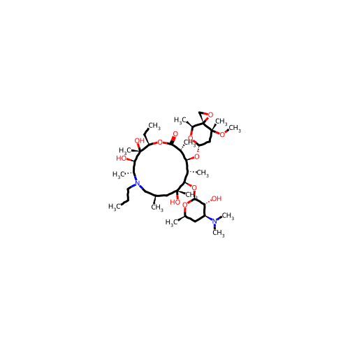 CCCN1C[C@H](C)C[C@@](C)(O)[C@H](O[C@@H]2O[C@H](C)C[C@H](N(C)C)[C@H]2O)[C@@H](C)[C@H](O[C@H]2C[C@@](C)(OC)[C@]3(CO3)[C@H](C)O2)[C@@H](C)C(=O)O[C@H](CC)[C@@](C)(O)[C@H](O)[C@H]1C